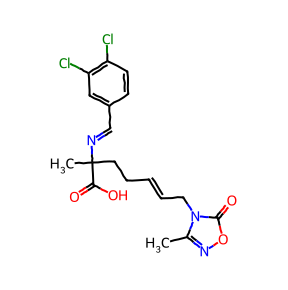 Cc1noc(=O)n1C/C=C/CCC(C)(N=Cc1ccc(Cl)c(Cl)c1)C(=O)O